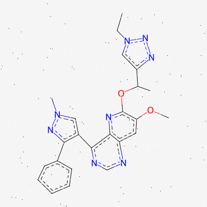 CCn1cc(C(C)Oc2nc3c(-c4cn(C)nc4-c4ccccc4)ncnc3cc2OC)nn1